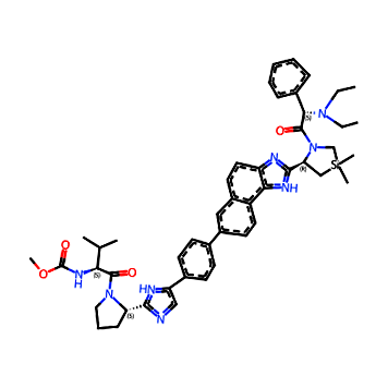 CCN(CC)[C@H](C(=O)N1C[Si](C)(C)C[C@H]1c1nc2ccc3cc(-c4ccc(-c5cnc([C@@H]6CCCN6C(=O)[C@@H](NC(=O)OC)C(C)C)[nH]5)cc4)ccc3c2[nH]1)c1ccccc1